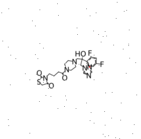 O=C(CCCN1C(=O)CSC1=O)N1CCN(CC(O)(Cn2cncn2)c2ccc(F)cc2F)CC1